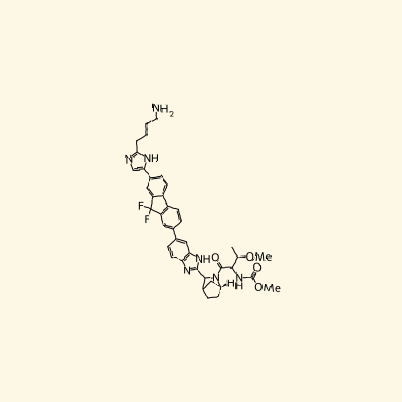 COC(=O)NC(C(=O)N1C(c2nc3ccc(-c4ccc5c(c4)C(F)(F)c4cc(-c6cnc(CCCCN)[nH]6)ccc4-5)cc3[nH]2)C2CC[C@@H]1C2)[C@@H](C)OC